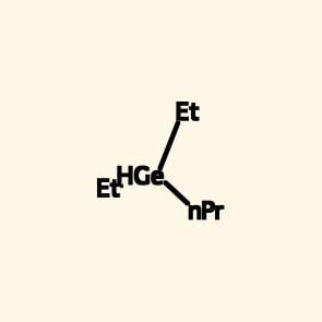 CC[CH2][GeH]([CH2]C)[CH2]C